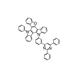 c1ccc(-c2cc(-c3cccc(-n4c5ccccc5c5c6oc7ccccc7c6c6c(c7ccccc7n6-c6ccccc6)c54)c3)nc(-c3ccccc3)n2)cc1